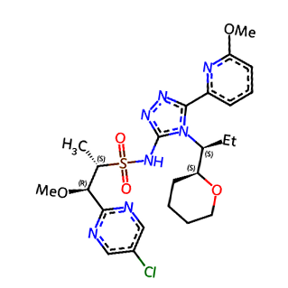 CC[C@@H]([C@@H]1CCCCO1)n1c(NS(=O)(=O)[C@@H](C)[C@H](OC)c2ncc(Cl)cn2)nnc1-c1cccc(OC)n1